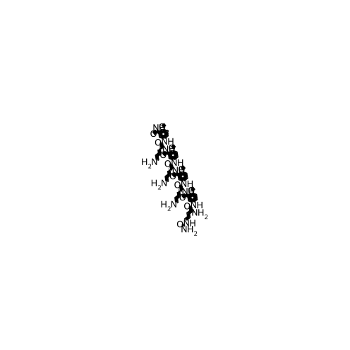 COc1ccc(NC(=O)[C@H](CCCCN)NC(=O)c2cc(NC(=O)[C@H](CCCCN)NC(=O)c3cc(NC(=O)[C@H](CCCCN)NC(=O)c4cc(NC(=O)[C@@H](N)CCCNC(N)=O)ccc4OC)ccc3OC)ccc2OC)cc1C(N)=O